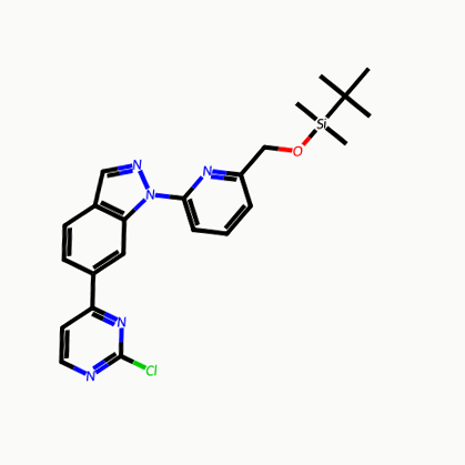 CC(C)(C)[Si](C)(C)OCc1cccc(-n2ncc3ccc(-c4ccnc(Cl)n4)cc32)n1